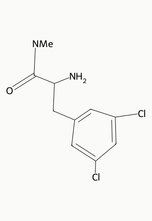 CNC(=O)C(N)Cc1cc(Cl)cc(Cl)c1